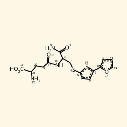 NC(=O)C(CSc1ccc(-c2ccco2)s1)NC(=O)CCC(N)C(=O)O